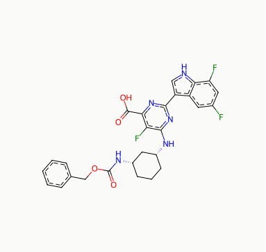 O=C(N[C@H]1CCC[C@@H](Nc2nc(-c3c[nH]c4c(F)cc(F)cc34)nc(C(=O)O)c2F)C1)OCc1ccccc1